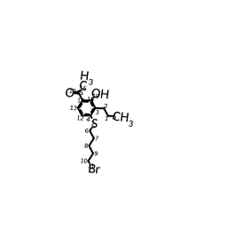 CCCc1c(SCCCCCBr)ccc(C(C)=O)c1O